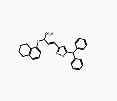 O=C(O)C(C=Cc1cc(C(c2ccccc2)c2ccccc2)on1)Oc1cccc2c1CCCC2